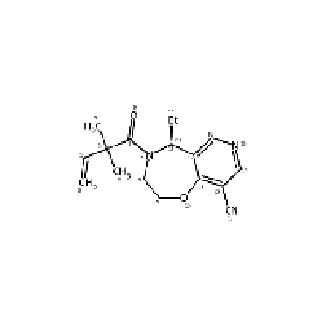 C=CC(C)(C)C(=O)N1CCOc2c(C#N)cncc2[C@@H]1CC